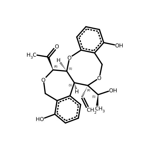 C=C[C@@]1([C@H](C)O)OCc2c(O)cccc2O[C@@H]2[C@H](C(C)=O)OCc3c(O)cccc3[C@@H]21